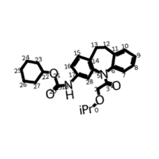 CC(C)OCC(=O)N1c2ccccc2CCc2ccc(NC(=O)OC3CCCCC3)cc21